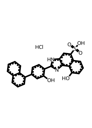 Cl.O=S(=O)(O)c1cc2[nH]c(-c3ccc(-c4cccc5ccccc45)cc3O)nc2c2c(O)cccc12